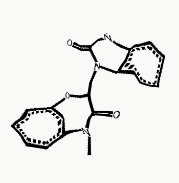 CN1C(=O)C(N2C(=O)[N]c3ccccc32)Oc2ccccc21